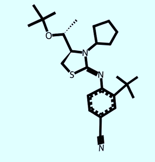 C[C@@H](OC(C)(C)C)[C@@H]1CS/C(=N\c2ccc(C#N)cc2C(C)(C)C)N1C1CCCC1